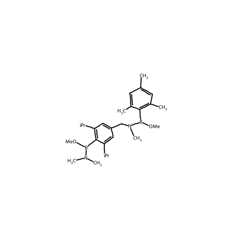 COB(c1c(C(C)C)cc(CN(C)B(OC)c2c(C)cc(C)cc2C)cc1C(C)C)N(C)C